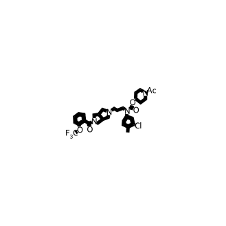 CC(=O)N1CCC(OC(=O)N(CCCN2CC3CN(C(=O)c4ccccc4OC(F)(F)F)CC3C2)c2ccc(C)c(Cl)c2)CC1